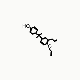 C=CCOc1ccc(C(C)(C)c2ccc(O)cc2)cc1CC=C